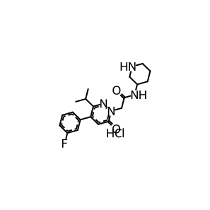 CC(C)c1nn(CC(=O)NC2CCCNC2)c(=O)cc1-c1cccc(F)c1.Cl